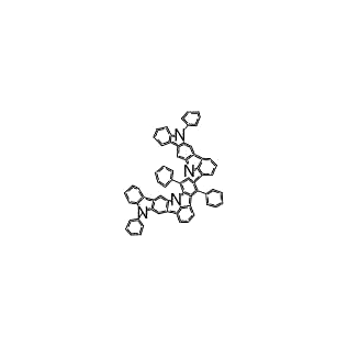 c1ccc(-c2c3c4cccc5c6cc7c(cc6n(c3c(-c3ccccc3)c3c2c2cccc6c8cc9c(cc8n3c62)c2ccccc2n9-c2ccccc2)c54)c2ccccc2n7-c2ccccc2)cc1